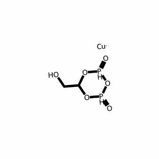 O=[PH]1OC(CO)O[PH](=O)O1.[Cu]